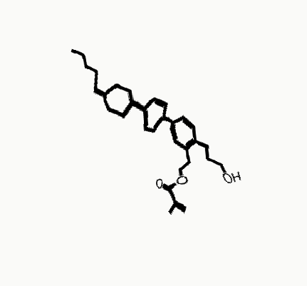 C=C(C)C(=O)OCCc1cc(-c2ccc(C3CCC(CCCCC)CC3)cc2)ccc1CCCO